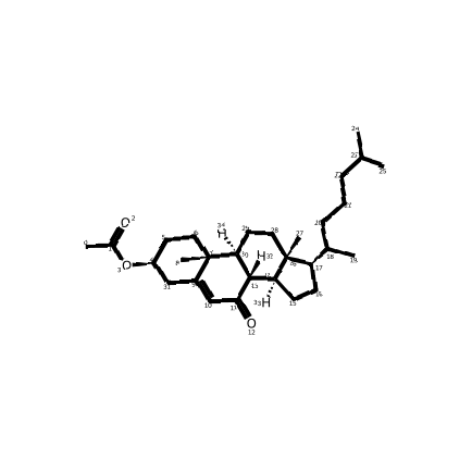 CC(=O)O[C@H]1CC[C@@]2(C)C(=CC(=O)[C@H]3[C@@H]4CC[C@H](C(C)CCCC(C)C)[C@@]4(C)CC[C@@H]32)C1